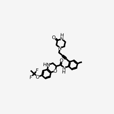 Cc1ccc(NC(=O)C2CNc3cc(OC(C)(F)F)ccc3O2)c(C#CCN2CCNC(=O)C2)c1